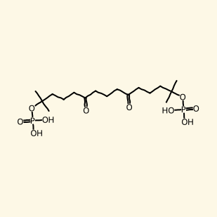 CC(C)(CCCC(=O)CCCC(=O)CCCC(C)(C)OP(=O)(O)O)OP(=O)(O)O